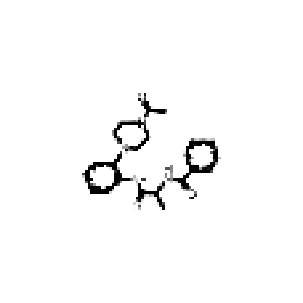 CC(=O)N1CCN(c2ccccc2NC(=O)C(C)NC(=O)c2ccccc2)CC1